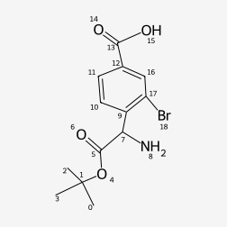 CC(C)(C)OC(=O)C(N)c1ccc(C(=O)O)cc1Br